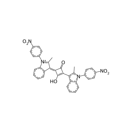 CC1=[N+](c2ccc([N+](=O)[O-])cc2)c2ccccc2/C1=C1/C(=O)C(c2c(C)n(-c3ccc([N+](=O)[O-])cc3)c3ccccc23)=C1O